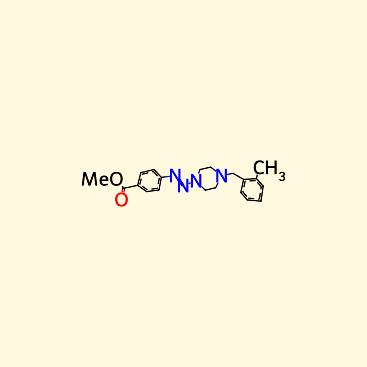 COC(=O)c1ccc(/N=N/N2CCN(Cc3ccccc3C)CC2)cc1